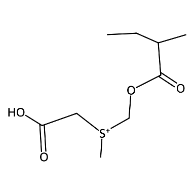 CCC(C)C(=O)OC[S+](C)CC(=O)O